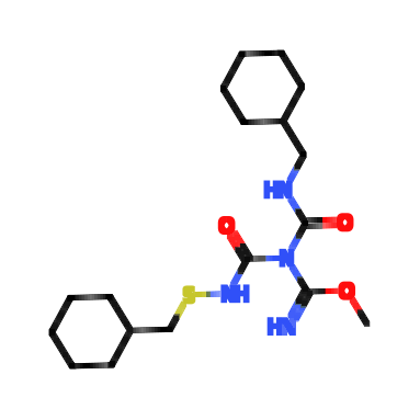 COC(=N)N(C(=O)NCC1CCCCC1)C(=O)NSCC1CCCCC1